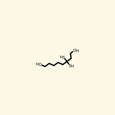 OCCCCCC(S)(S)CCO